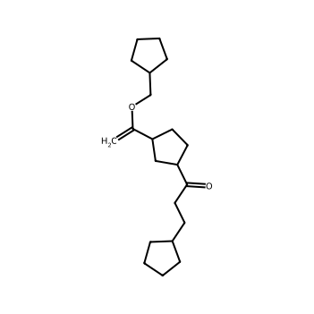 C=C(OCC1CCCC1)C1CCC(C(=O)CCC2CCCC2)C1